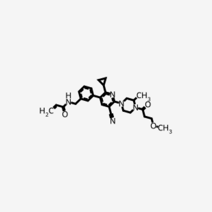 C=CC(=O)NCc1cccc(-c2cc(C#N)c(N3CCN(C(=O)CCOC)C(C)C3)nc2C2CC2)c1